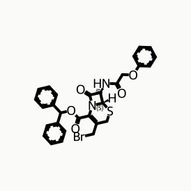 O=C(COc1ccccc1)N[C@@H]1C(=O)N2C(C(=O)OC(c3ccccc3)c3ccccc3)=C(CBr)CS[C@@H]12